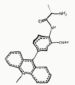 COc1cc(-c2c3ccccc3[n+](C)c3ccccc23)ccc1NC(=O)[C@H](C)N